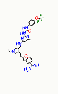 CCN1CC(C=Cc2cc3cc(C(=N)N)ccc3o2)C(CNc2cc(C)nc(NC(=O)Nc3ccc(OC(F)(F)F)cc3)n2)C1